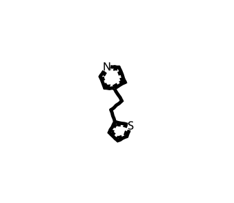 c1csc(CCc2ccncc2)c1